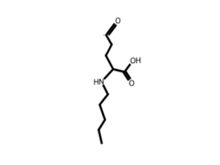 CCCCCNC(CC[C]=O)C(=O)O